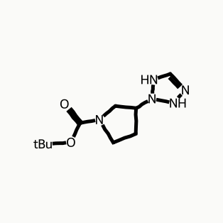 CC(C)(C)OC(=O)N1CCC(N2NC=NN2)C1